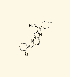 CC1CCC([C@H](N)c2cn3nc(C[C@@H]4CCCNC4=O)ccc3n2)CC1